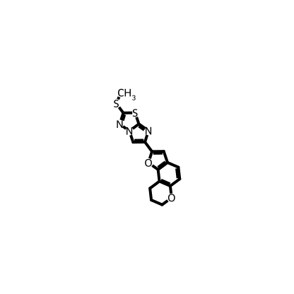 CSc1nn2cc(-c3cc4ccc5c(c4o3)CCCO5)nc2s1